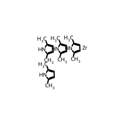 Cc1ccc(C)[nH]1.Cc1ccc(C)[nH]1.Cc1ccc(C)[nH]1.Cc1ccc(C)[nH]1.[Zr]